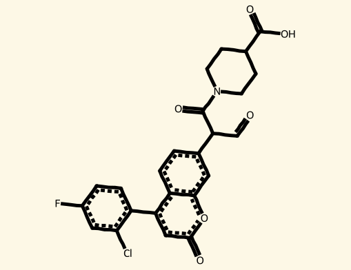 O=CC(C(=O)N1CCC(C(=O)O)CC1)c1ccc2c(-c3ccc(F)cc3Cl)cc(=O)oc2c1